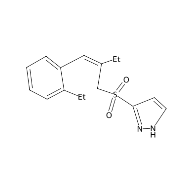 CCC(=Cc1ccccc1CC)CS(=O)(=O)c1cc[nH]n1